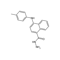 Cc1ccc(Nc2ccc(C(=O)NN)c3ccccc23)cc1